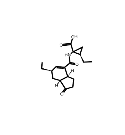 CC[C@H]1C=C(C(=O)N[C@@]2(C(=O)O)C[C@H]2CC)[C@H]2CCC(=O)[C@H]2C1